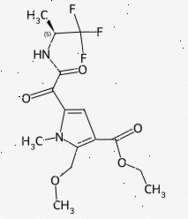 CCOC(=O)c1cc(C(=O)C(=O)N[C@@H](C)C(F)(F)F)n(C)c1COC